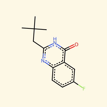 CC(C)(C)Cc1nc2ccc(F)cc2c(=O)[nH]1